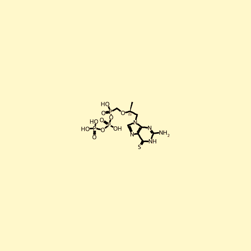 C[C@@H](Cn1cnc2c(=S)[nH]c(N)nc21)OCP(=O)(O)OP(=O)(O)OP(=O)(O)O